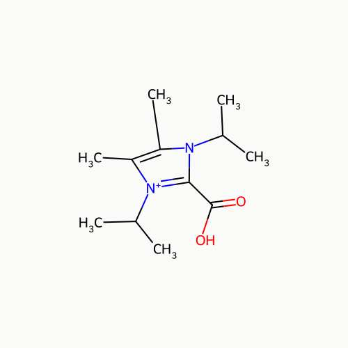 Cc1c(C)[n+](C(C)C)c(C(=O)O)n1C(C)C